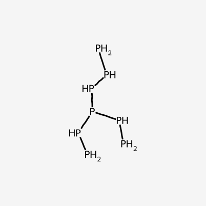 PPPP(PP)PP